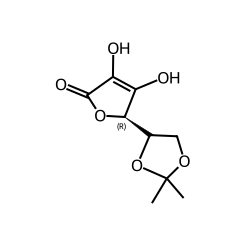 CC1(C)OCC([C@H]2OC(=O)C(O)=C2O)O1